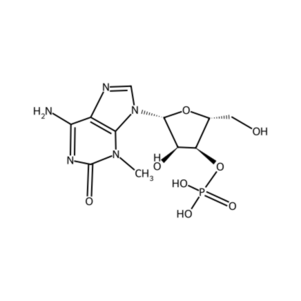 Cn1c(=O)nc(N)c2ncn([C@@H]3O[C@H](CO)[C@@H](OP(=O)(O)O)[C@H]3O)c21